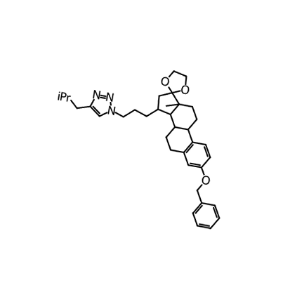 CC(C)Cc1cn(CCCC2CC3(OCCO3)C3(C)CCC4c5ccc(OCc6ccccc6)cc5CCC4C23)nn1